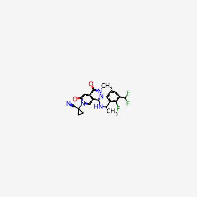 CC(Nc1nn(C)c(=O)c2cc(=O)n(C3(C#N)CC3)cc12)c1cccc(C(F)F)c1F